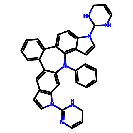 C1=CN=C(n2ccc3cc4c(cc32)N(c2ccccc2)c2c(ccc3c2ccn3C2NC=CCN2)-c2ccccc2-4)NC1